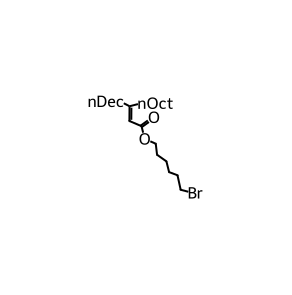 CCCCCCCCCC/C(=C/C(=O)OCCCCCCBr)CCCCCCCC